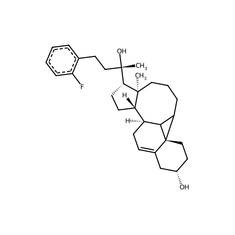 C[C@]12CCCC3C4[C@@H](CC=C5C[C@@H](O)CC[C@]534)[C@@H]1CC[C@@H]2[C@@](C)(O)CCc1ccccc1F